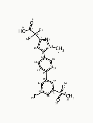 Cn1nc(C(F)(F)C(=O)O)cc1-c1ccc(-c2cc(F)cc(S(C)(=O)=O)c2)cc1